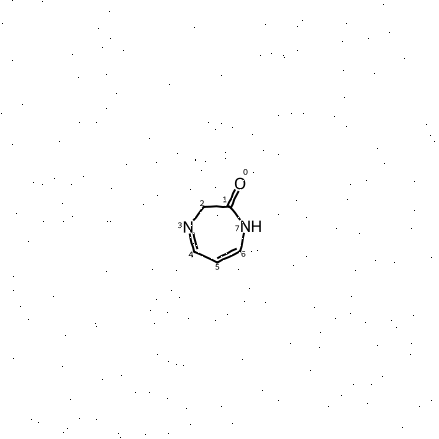 O=C1CN=CC=CN1